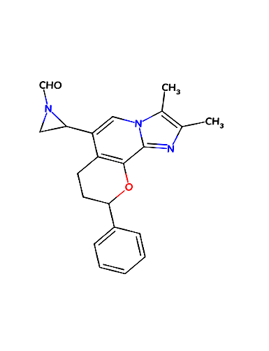 Cc1nc2c3c(c(C4CN4C=O)cn2c1C)CCC(c1ccccc1)O3